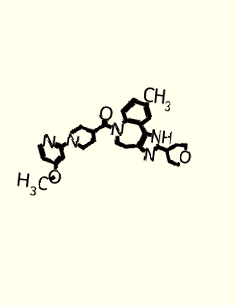 COc1ccnc(N2CCC(C(=O)N3CCc4nc(C5CCOCC5)[nH]c4-c4cc(C)ccc43)CC2)c1